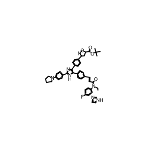 CCN(C(=O)C=Cc1ccc(-c2[nH]c(-c3ccc(N4CCCC4)cc3)nc2-c2ccc(C3=NOC(C(=O)OC(C)(C)C)C3)cc2)cc1)c1ccc(F)cc1.c1c[nH]cn1